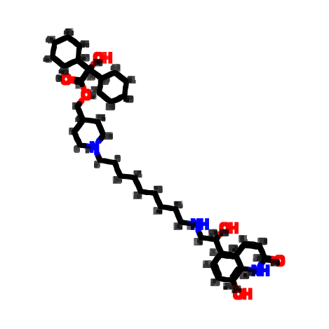 O=C(OCC1CCN(CCCCCCCCCNCC(O)c2ccc(O)c3[nH]c(=O)ccc23)CC1)C(O)(C1CCCCC1)C1CCCCC1